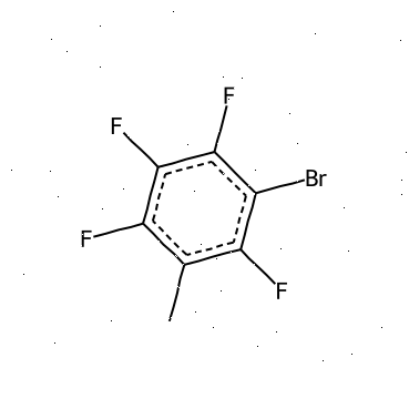 Cc1c(F)c(F)c(F)c(Br)c1F